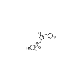 CC1CNCCN1C(=O)NCC1CC(=O)N(Cc2ccc(F)cc2)C1